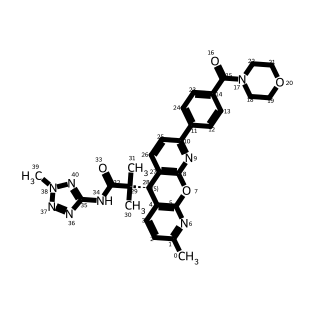 Cc1ccc2c(n1)Oc1nc(-c3ccc(C(=O)N4CCOCC4)cc3)ccc1[C@H]2C(C)(C)C(=O)Nc1nnn(C)n1